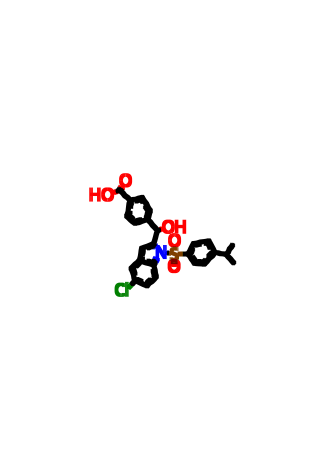 CC(C)c1ccc(S(=O)(=O)n2c(C(O)c3ccc(C(=O)O)cc3)cc3cc(Cl)ccc32)cc1